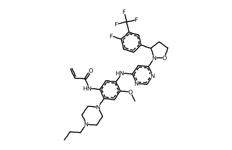 C=CC(=O)Nc1cc(Nc2cc(N3OCCC3c3ccc(F)c(C(F)(F)F)c3)ncn2)c(OC)cc1N1CCN(CCC)CC1